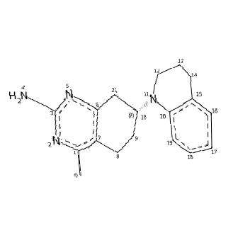 Cc1nc(N)nc2c1CC[C@@H](N1CCCc3ccccc31)C2